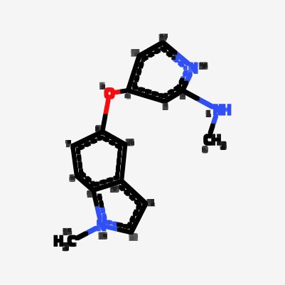 CNc1cc(Oc2ccc3c(ccn3C)c2)ccn1